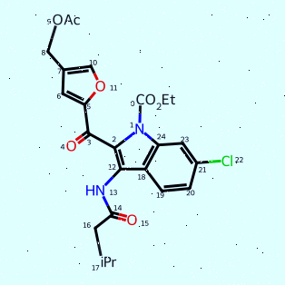 CCOC(=O)n1c(C(=O)c2cc(COC(C)=O)co2)c(NC(=O)CC(C)C)c2ccc(Cl)cc21